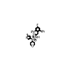 CC(C)c1cc(F)cc(C(C)C)c1CC(=O)NS(=O)(=O)N(c1cnn(C)c1)C1CCOCC1